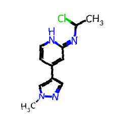 CC(Cl)/N=c1/cc(-c2cnn(C)c2)cc[nH]1